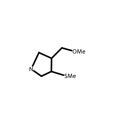 COCC1C[N]CC1SC